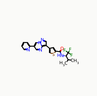 CC(C)[C@@H](NC(=O)c1cc(-c2cnn3cc(-c4ccccn4)cnc23)cs1)C(F)(F)F